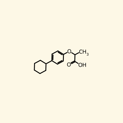 CC(Oc1ccc(C2CCCCC2)cc1)C(=O)O